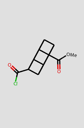 COC(=O)C12C3C4C1C1C2C3C41C(=O)Cl